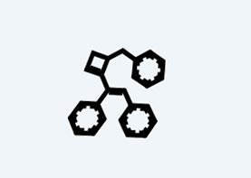 C(=C(C1=CCC1Cc1ccccc1)c1ccccc1)c1ccccc1